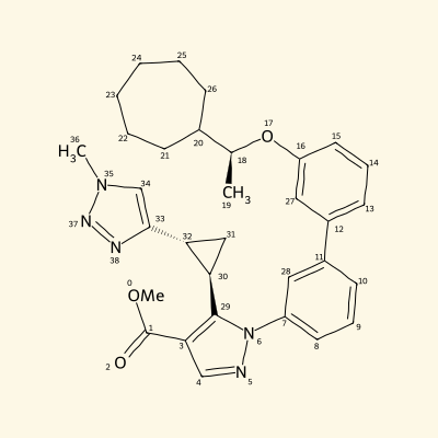 COC(=O)c1cnn(-c2cccc(-c3cccc(O[C@@H](C)C4CCCCCC4)c3)c2)c1[C@@H]1C[C@H]1c1cn(C)nn1